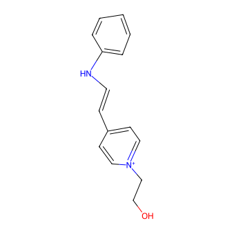 OCC[n+]1ccc(C=CNc2ccccc2)cc1